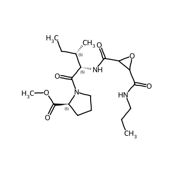 CCCNC(=O)C1OC1C(=O)N[C@H](C(=O)N1CCC[C@H]1C(=O)OC)[C@@H](C)CC